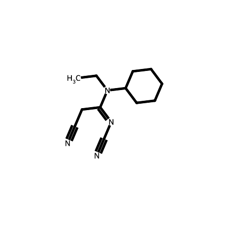 CCN(C(CC#N)=NC#N)C1CCCCC1